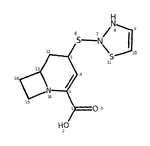 O=C(O)C1=CC(SN2NC=CS2)CC2CCN12